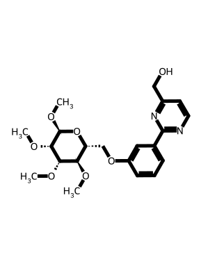 CO[C@H]1O[C@H](COc2cccc(-c3nccc(CO)n3)c2)[C@@H](OC)[C@H](OC)[C@@H]1OC